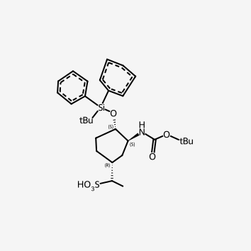 CC([C@@H]1CC[C@H](O[Si](c2ccccc2)(c2ccccc2)C(C)(C)C)[C@@H](NC(=O)OC(C)(C)C)C1)S(=O)(=O)O